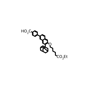 CCOC(=O)CCCCCOc1cc2ccc(-c3ccc(C(=O)O)cc3)cc2cc1C12CC3CC(CC(C3)C1)C2